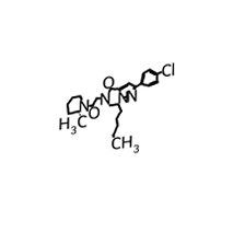 CCCCCC1CN(CC(=O)N2CCCC[C@H]2C)C(=O)c2cc(-c3ccc(Cl)cc3)nn21